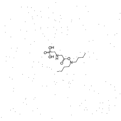 CCCCN(CCCC)OC(=O)CNCP(=O)(O)O